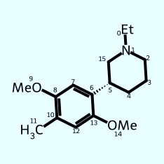 CCN1CCC[C@H](c2cc(OC)c(C)cc2OC)C1